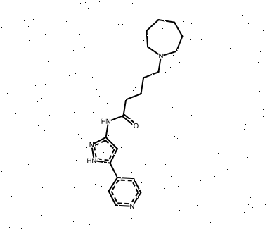 O=C(CCCCN1CCCCCC1)Nc1cc(-c2ccncc2)[nH]n1